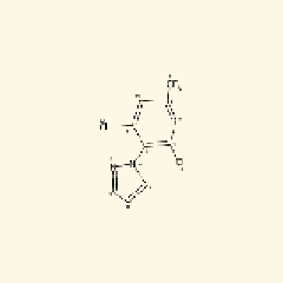 FC(F)(F)c1cc(Cl)c(-n2c[c]cn2)c(Cl)c1